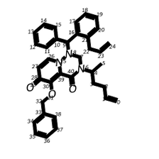 C=CCCC(C)N1CN(C(c2ccccc2)c2ccccc2CC=C)n2ccc(=O)c(OCc3ccccc3)c2C1=O